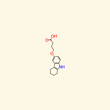 O=C(O)CCCOc1ccc2[nH]c3c(c2c1)CCCC3